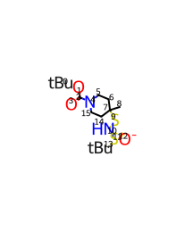 CC(C)(C)OC(=O)N1CCC(C)(SN[S@@+]([O-])C(C)(C)C)CC1